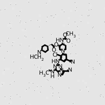 CCNc1nc(Nc2cc(C#N)cc(N3CC[C@@H](NC(=O)OC)[C@H](OC(=O)C[C@H]4CC[C@H](N)CC4)C3)c2Cl)nn2c(C#N)cnc12.Cl